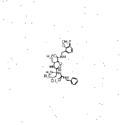 CCC(NC(=O)[C@@]([SiH3])(CC(C)C)NC(=O)NCc1ccccc1)C(=O)C(=O)NCc1cccc(F)c1OC